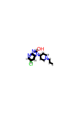 CCCN1CCC(n2c(O)nc3ncc(Cl)cc32)CC1